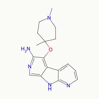 CN1CCC(C)(Oc2c(N)ncc3[nH]c4ncccc4c23)CC1